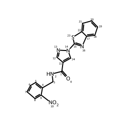 O=C(NCc1ccccc1[N+](=O)[O-])c1cnn(-c2nc3ccccc3s2)c1